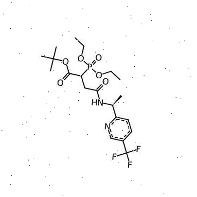 CCOP(=O)(OCC)C(CC(=O)N[C@@H](C)c1ccc(C(F)(F)F)cn1)C(=O)OC(C)(C)C